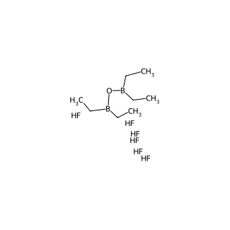 CCB(CC)OB(CC)CC.F.F.F.F.F.F